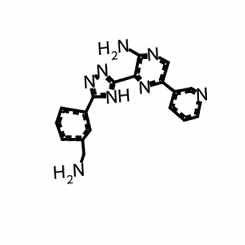 NCc1cccc(-c2nnc(-c3nc(-c4cccnc4)cnc3N)[nH]2)c1